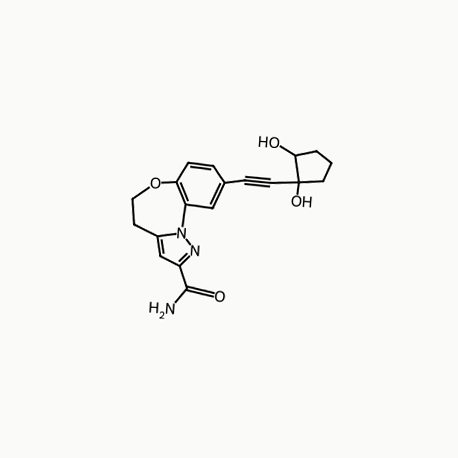 NC(=O)c1cc2n(n1)-c1cc(C#CC3(O)CCCC3O)ccc1OCC2